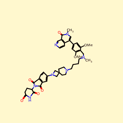 COc1cc(-c2cn(C)c(=O)c3cnccc23)cc(OC)c1CN(C)CCCCN1CCC2(CC1)CN(c1ccc3c(c1)C(=O)N(C1CCC(=O)NC1=O)C3=O)C2